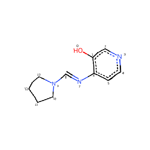 Oc1cnccc1N=CN1CCCC1